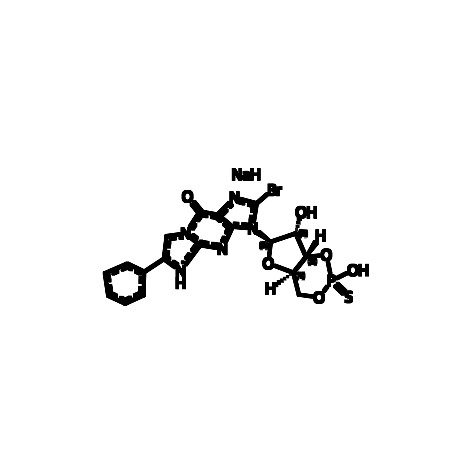 O=c1c2nc(Br)n([C@@H]3O[C@@H]4COP(O)(=S)O[C@H]4[C@H]3O)c2nc2[nH]c(-c3ccccc3)cn12.[NaH]